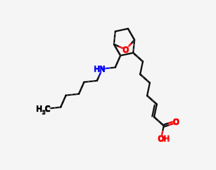 CCCCCCNCC1C2CCC(O2)C1CCCC/C=C/C(=O)O